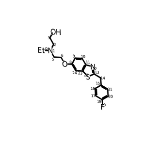 CCN(CCO)CCOc1ccc2nc(Cc3ccc(F)cc3)sc2c1